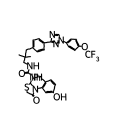 CC(C)c1ccc(O)cc1N1C(=O)CSC1NC(=O)NCC(C)(C)Cc1ccc(-c2ncn(-c3ccc(OC(F)(F)F)cc3)n2)cc1